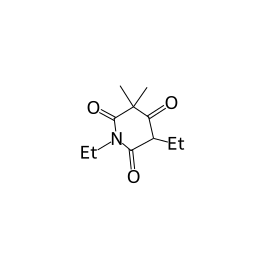 CCC1C(=O)N(CC)C(=O)C(C)(C)C1=O